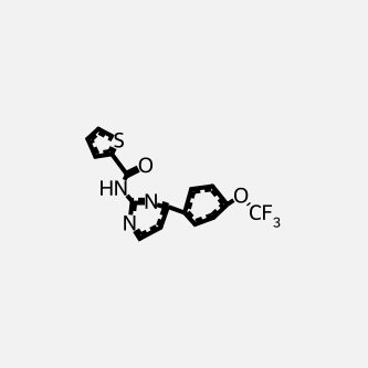 O=C(Nc1nccc(-c2ccc(OC(F)(F)F)cc2)n1)c1cccs1